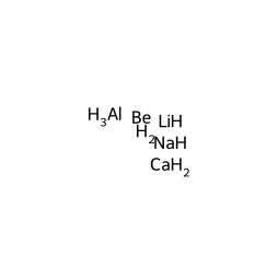 [AlH3].[BeH2].[CaH2].[LiH].[NaH]